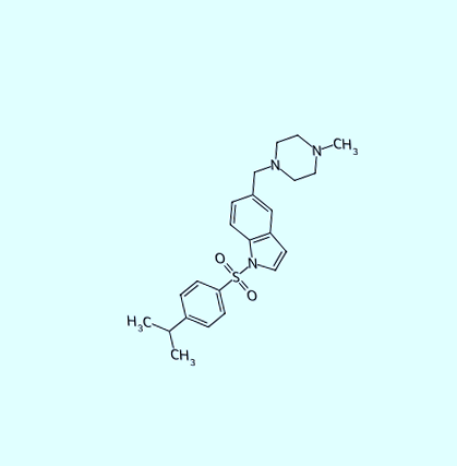 CC(C)c1ccc(S(=O)(=O)n2ccc3cc(CN4CCN(C)CC4)ccc32)cc1